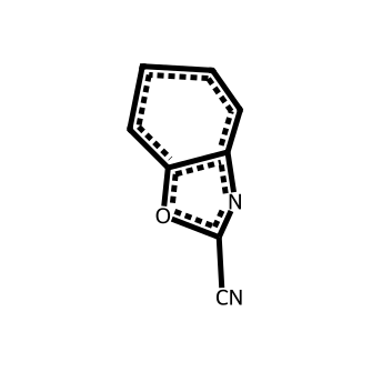 N#Cc1nc2ccccc2o1